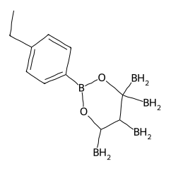 BC1OB(c2ccc(CC)cc2)OC(B)(B)C1B